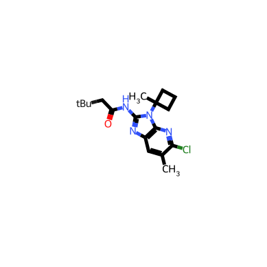 Cc1cc2nc(NC(=O)CC(C)(C)C)n(C3(C)CCC3)c2nc1Cl